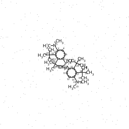 CN(C)c1ccc([PH](Cl)(Cl)c2ccc(N(C)C)c(C(C)(C)C)c2C(C)(C)C)c(C(C)(C)C)c1C(C)(C)C